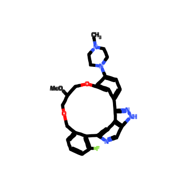 COC1COCc2cccc(F)c2-c2cc3c(n[nH]c3cn2)-c2ccc(N3CCN(C)CC3)c(c2)OC1